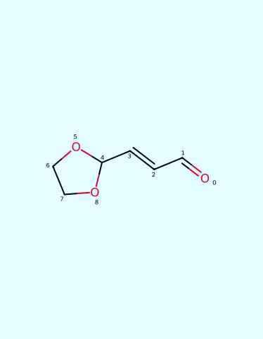 O=CC=CC1OCCO1